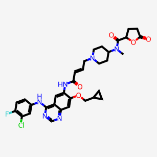 CN(C(=O)C1CCC(=O)O1)C1CCN(CC=CC(=O)Nc2cc3c(Nc4ccc(F)c(Cl)c4)ncnc3cc2OCC2CC2)CC1